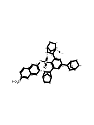 O=S(=O)(O)c1ccc2cc(OS(=O)(=O)c3c(C4CC5CCC4C5)cc(C4CC5CCC4C5)cc3C3CC4CC[C@@H]3C4)ccc2c1